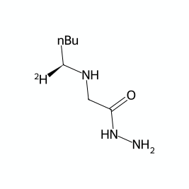 [2H][C@@H](CCCC)NCC(=O)NN